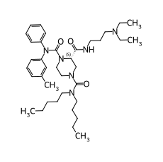 CCCCCN(CCCCC)C(=O)N1CCN(C(=O)N(c2ccccc2)c2cccc(C)c2)[C@H](C(=O)NCCCN(CC)CC)C1